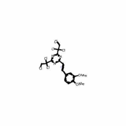 COc1ccc(/C=C/c2nc(C(Cl)(Cl)CCl)nc(C(Cl)(Cl)CCl)n2)cc1OC